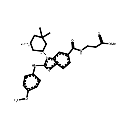 COC(=O)CCNC(=O)c1ccc2nc(Nc3ccc(OC(F)(F)F)cc3)n([C@@H]3C[C@H](C)CC(C)(C)C3)c2c1